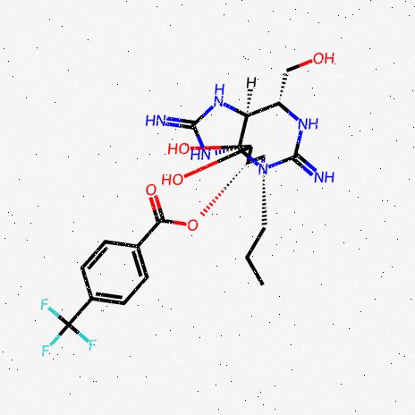 CCC[C@H]1[C@H](OC(=O)c2ccc(C(F)(F)F)cc2)C(O)(O)[C@]23NC(=N)N[C@H]2[C@H](CO)NC(=N)N13